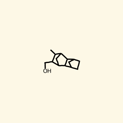 CC1C(CO)C2CC1C1C3CCC(C3)C21